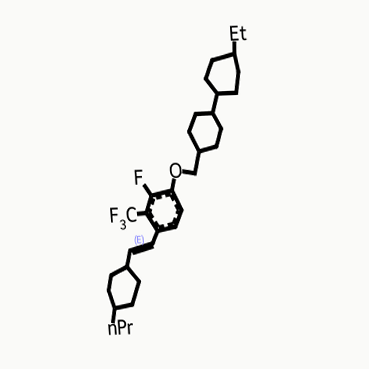 CCCC1CCC(/C=C/c2ccc(OCC3CCC(C4CCC(CC)CC4)CC3)c(F)c2C(F)(F)F)CC1